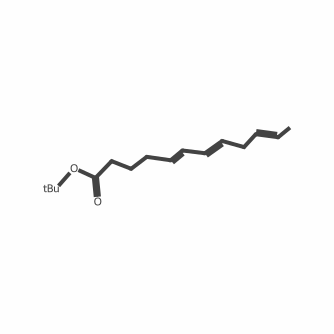 CC=CCC=CC=CCCCC(=O)OC(C)(C)C